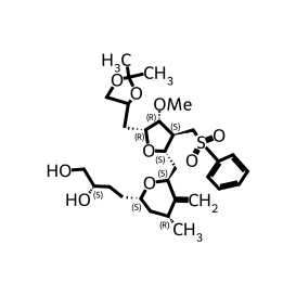 C=C1[C@H](C)C[C@H](CC[C@H](O)CO)O[C@H]1C[C@@H]1O[C@H](CC2COC(C)(C)O2)[C@H](OC)[C@H]1CS(=O)(=O)c1ccccc1